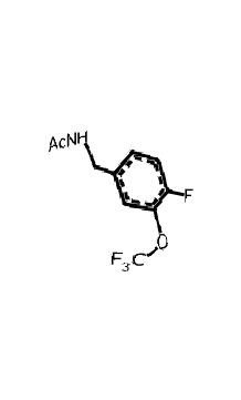 CC(=O)NCc1ccc(F)c(OC(F)(F)F)c1